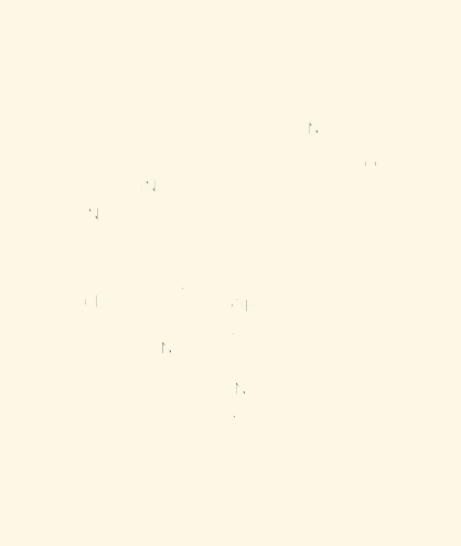 CC(=O)N1CCC(O)(c2ncc(-c3c(Cl)cnc4[nH]c(-c5ccc(CN6CCOCC6)cc5)cc34)s2)C1